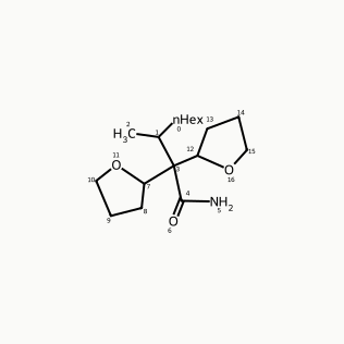 CCCCCCC(C)C(C(N)=O)(C1CCCO1)C1CCCO1